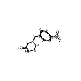 O=C1CN(Cc2ccc([N+](=O)[O-])cc2)CCN1